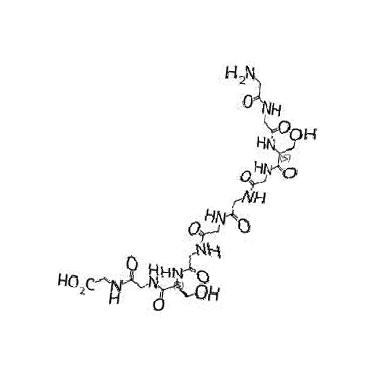 NCC(=O)NCC(=O)N[C@@H](CO)C(=O)NCC(=O)NCC(=O)NCC(=O)NCC(=O)N[C@@H](CO)C(=O)NCC(=O)NCC(=O)O